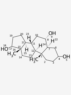 C[C@]12CCC(O)C[C@@H]1[C@@H](O)C[C@@H]1[C@@H]2CC[C@]2(C)C(O)CC[C@@H]12